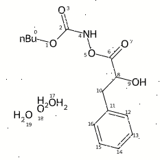 CCCCOC(=O)NOC(=O)C(O)Cc1ccccc1.O.O.O